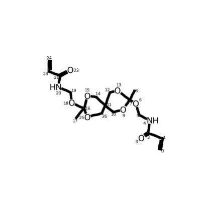 C=CC(=O)NCOC1(C)OCC2(CO1)COC(C)(OCNC(=O)C=C)OC2